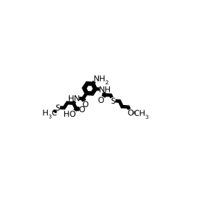 COCCCSCC(=O)Nc1cc(C(=O)NC(CCSC)C(=O)O)ccc1N